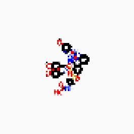 COc1ccc(CN(Cc2ccc(OC)cc2)S(=O)(=O)c2c(S(=O)(=O)C3CC(NC(=O)O)C3)ccc(C3C=CC=C4N=C(N)N=C43)c2-c2nnn(Cc3ccc(OC)cc3)n2)cc1